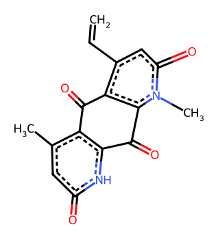 C=Cc1cc(=O)n(C)c2c1C(=O)c1c(C)cc(=O)[nH]c1C2=O